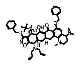 C=CCN(CC=C)[C@@H]1c2onc(OCc3ccccc3)c2C(=O)[C@@]2(O[Si](C)(C)C(C)(C)C)C(O)=C3C(=O)c4c(OCc5ccccc5)cc5c(c4C[C@H]3C[C@@H]12)N(C)CCC5N(C)C